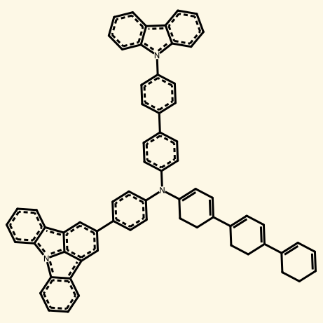 C1=CCCC(C2=CC=C(C3=CC=C(N(c4ccc(-c5ccc(-n6c7ccccc7c7ccccc76)cc5)cc4)c4ccc(-c5cc6c7ccccc7n7c8ccccc8c(c5)c67)cc4)CC3)CC2)=C1